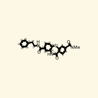 CNC(=O)c1ccc2c(c1)Sc1ccc(C(=O)NCCc3ccccc3)cc1NC2=O